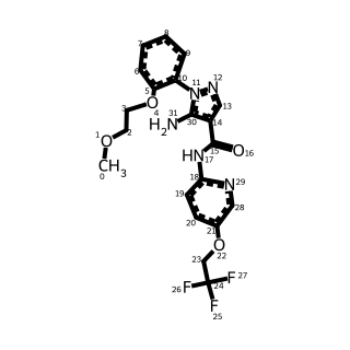 COCCOc1ccccc1-n1ncc(C(=O)Nc2ccc(OCC(F)(F)F)cn2)c1N